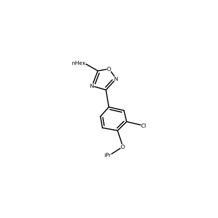 CCCCCCc1nc(-c2ccc(OC(C)C)c(Cl)c2)no1